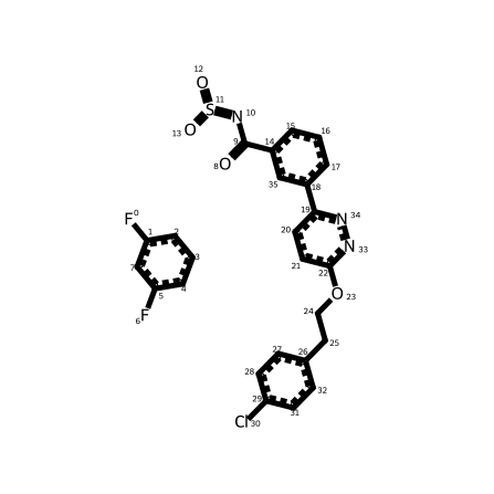 Fc1cccc(F)c1.O=C(N=S(=O)=O)c1cccc(-c2ccc(OCCc3ccc(Cl)cc3)nn2)c1